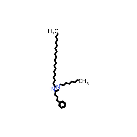 CCCCCCCCCCCCCCCCCCCc1nc(CCCc2ccccc2)cn1CCCCCCCC